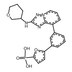 O=P(O)(O)c1ccc(-c2cccc(-c3cccn4nc(NC5CCCOC5)nc34)c2)o1